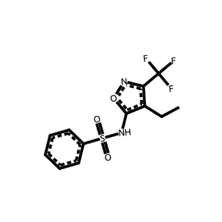 CCc1c(C(F)(F)F)noc1NS(=O)(=O)c1ccccc1